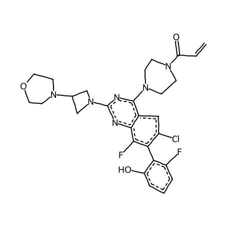 C=CC(=O)N1CCN(c2nc(N3CC(N4CCOCC4)C3)nc3c(F)c(-c4c(O)cccc4F)c(Cl)cc23)CC1